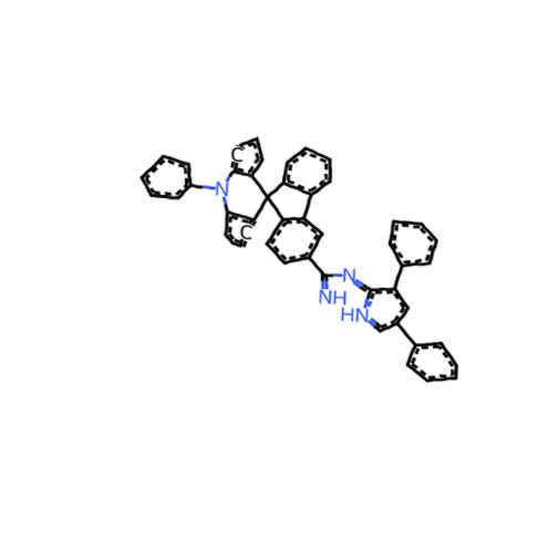 N=C(/N=c1\[nH]cc(-c2ccccc2)cc1-c1ccccc1)c1ccc2c(c1)-c1ccccc1C21c2ccccc2N(c2ccccc2)c2ccccc21